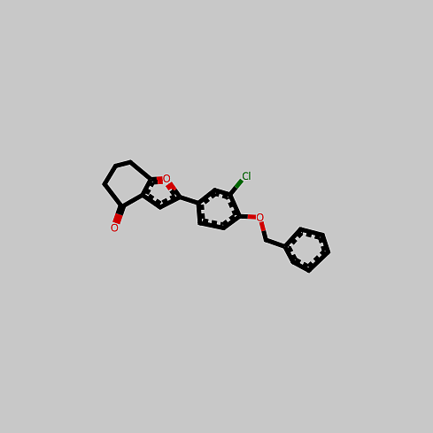 O=C1CCCc2oc(-c3ccc(OCc4ccccc4)c(Cl)c3)cc21